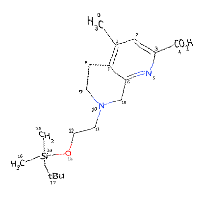 Cc1cc(C(=O)O)nc2c1CCN(CCO[Si](C)(C)C(C)(C)C)C2